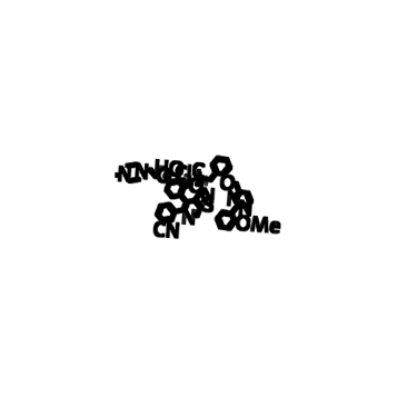 COc1ccccc1-c1nccc(COc2ccccc2C[C@@H](Oc2nsc3cnc(-c4cccc(C#N)c4)c(C4=C(C)C(Cl)=C(OCCN5CCN(C)CC5)CC4)c23)C(=O)O)n1